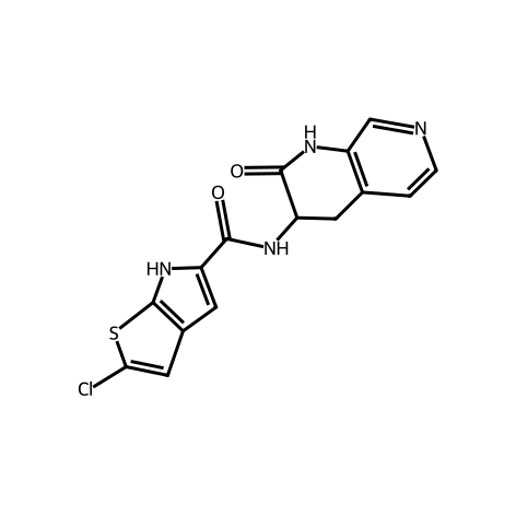 O=C(NC1Cc2ccncc2NC1=O)c1cc2cc(Cl)sc2[nH]1